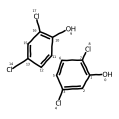 Oc1cc(Cl)ccc1Cl.Oc1ccc(Cl)cc1Cl